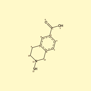 O=C(O)c1ccc2c(c1)CCN(S)C2